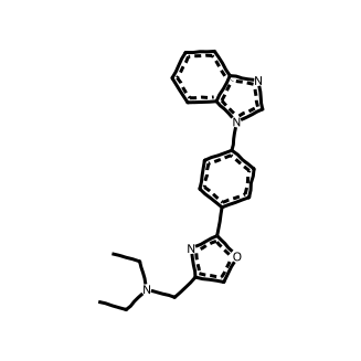 CCN(CC)Cc1coc(-c2ccc(-n3cnc4ccccc43)cc2)n1